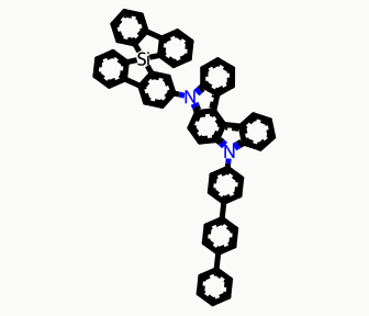 c1ccc(-c2ccc(-c3ccc(-n4c5ccccc5c5c6c7ccccc7n(-c7ccc8c(c7)[Si]7(c9ccccc9-c9ccccc97)c7ccccc7-8)c6ccc54)cc3)cc2)cc1